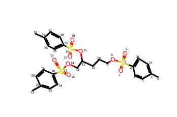 Cc1ccc(S(=O)(=O)OCCCC(COS(=O)(=O)c2ccc(C)cc2)OS(=O)(=O)c2ccc(C)cc2)cc1